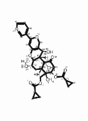 C[C@]1(COC(=O)C2CC2)[C@@H](OC(=O)C2CC2)CC(=O)[C@@]2(C)[C@H]1C[C@H](O)[C@@]1(C)OC3=C(COC(c4cccnc4)=C3)[C@@H](O)[C@@H]12